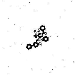 COc1ccc(-c2ccccc2)cc1CN[C@H]1[C@H](C(C)(C)C)[C@@H](C(=O)O)N(C(=O)C2CCCCC2)[C@H]1c1ccccc1F